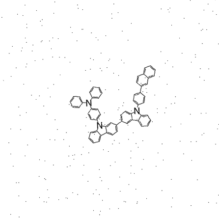 c1ccc(N(c2ccccc2)c2ccc(-n3c4ccccc4c4ccc(-c5ccc6c(c5)c5ccccc5n6-c5ccc(-c6ccc7ccccc7c6)cc5)cc43)cc2)cc1